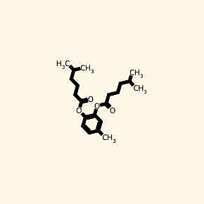 Cc1ccc(OC(=O)CCCC(C)C)c(OC(=O)CCCC(C)C)c1